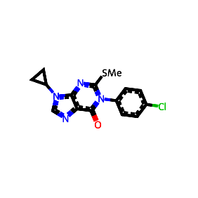 CSc1nc2c(ncn2C2CC2)c(=O)n1-c1ccc(Cl)cc1